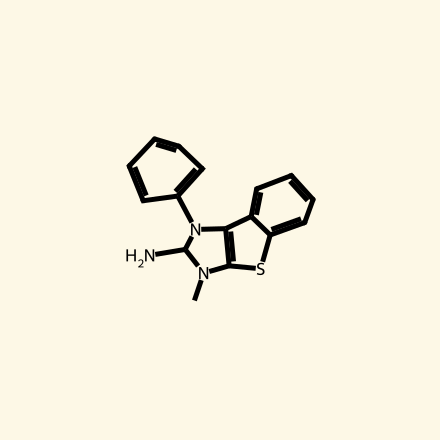 CN1c2sc3ccccc3c2N(c2ccccc2)C1N